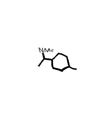 CNC(C)C1CCC(C)CC1